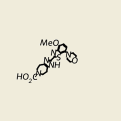 COc1ccc(N2CCOCC2)c2sc(-c3nc4c([nH]3)CCN(C(=O)O)CC4)nc12